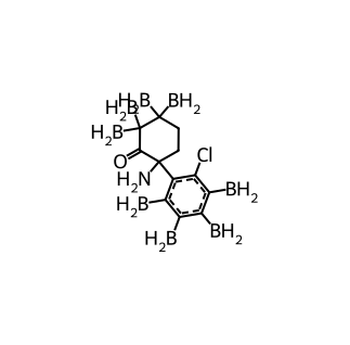 Bc1c(B)c(B)c(C2(N)CCC(B)(B)C(B)(B)C2=O)c(Cl)c1B